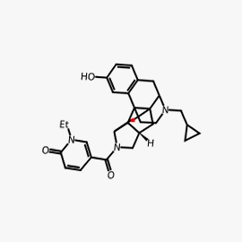 CCn1cc(C(=O)N2C[C@H]3CC45CCC2C3C42CCN(CC3CC3)C5Cc3ccc(O)cc32)ccc1=O